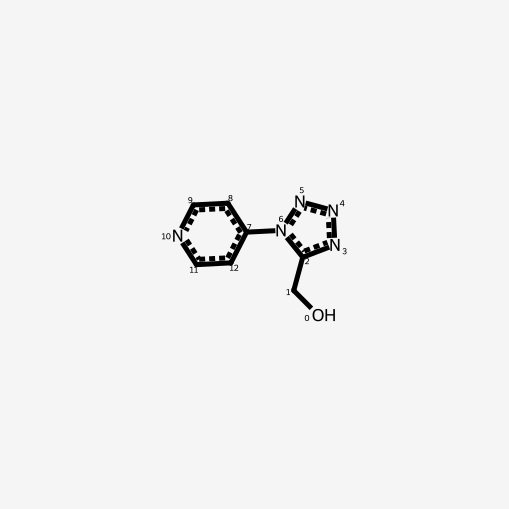 OCc1nnnn1-c1ccncc1